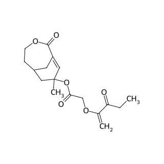 C=C(OCC(=O)OC1(C)C=C2CC(CCOC2=O)C1)C(=O)CC